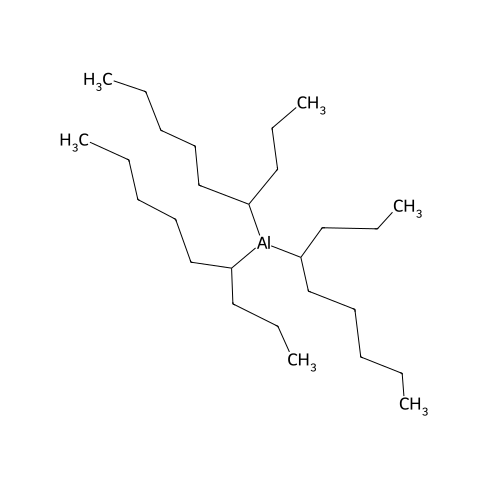 CCCCC[CH](CCC)[Al]([CH](CCC)CCCCC)[CH](CCC)CCCCC